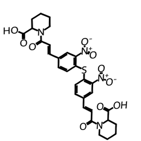 O=C(O)C1CCCCN1C(=O)/C=C/c1ccc(Sc2ccc(/C=C/C(=O)N3CCCCC3C(=O)O)cc2[N+](=O)[O-])c([N+](=O)[O-])c1